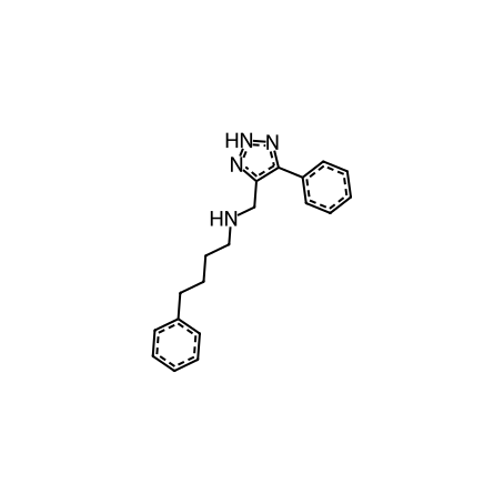 c1ccc(CCCCNCc2n[nH]nc2-c2ccccc2)cc1